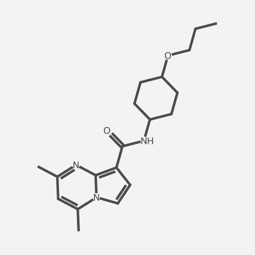 CCCOC1CCC(NC(=O)c2ccn3c(C)cc(C)nc23)CC1